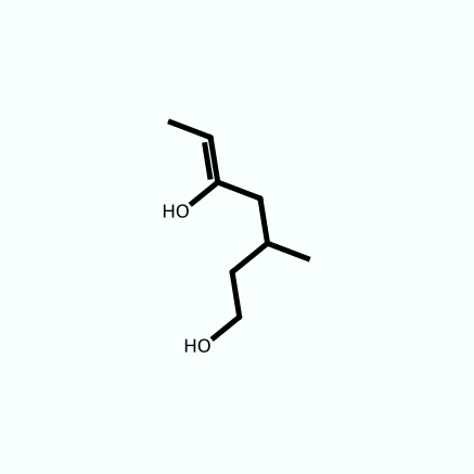 CC=C(O)CC(C)CCO